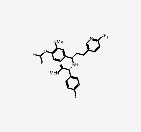 C=C(NC)[C@H](N[C@H](CCc1ccc(C(F)(F)F)nc1)c1ccc(OC(F)F)c(OC)c1)c1ccc(Cl)cc1